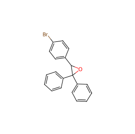 Brc1ccc(C2OC2(c2ccccc2)c2ccccc2)cc1